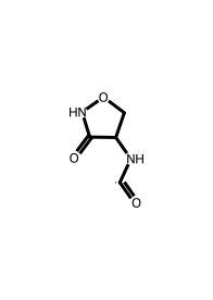 O=[C]NC1CONC1=O